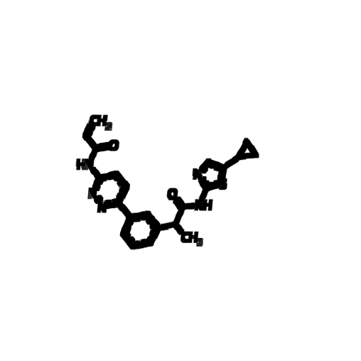 C=CC(=O)Nc1ccc(-c2cccc(C(C)C(=O)Nc3ncc(C4CC4)s3)c2)nn1